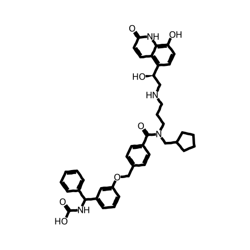 O=C(O)NC(c1ccccc1)c1cccc(OCc2ccc(C(=O)N(CCCNC[C@@H](O)c3ccc(O)c4[nH]c(=O)ccc34)CC3CCCC3)cc2)c1